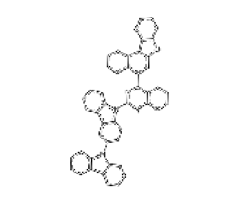 c1ccc2c(-c3cc4oc5ccccc5c4c4ccccc34)nc(-n3c4ccccc4c4cc(-n5c6ccccc6c6ccccc65)ccc43)nc2c1